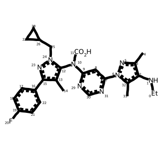 CCNc1c(C)nn(-c2cc(N(C(=O)O)c3c(C)c(-c4ccc(F)cc4)nn3CC3CC3)ncn2)c1C